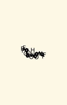 O=C(C[C@@H]1CCCN1S(=O)(=O)c1cccc(C(F)(F)F)c1)N[C@@H]1CCOc2cc(CN3CCC(F)(F)CC3)ccc21